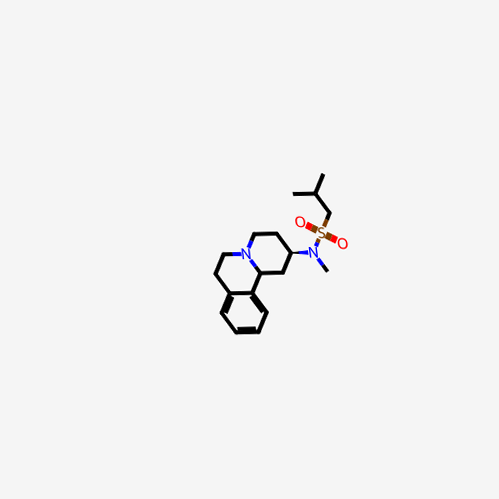 CC(C)CS(=O)(=O)N(C)[C@@H]1CCN2CCc3ccccc3C2C1